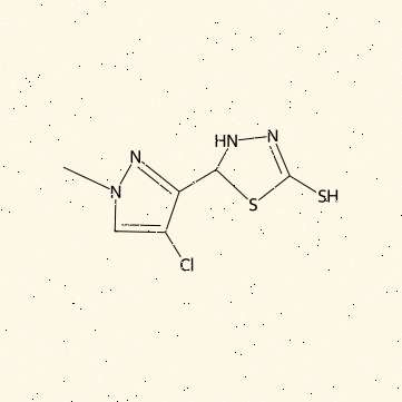 Cn1cc(Cl)c(C2NN=C(S)S2)n1